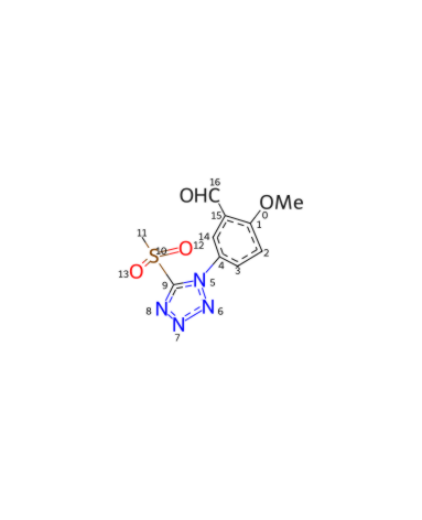 COc1ccc(-n2nnnc2S(C)(=O)=O)cc1C=O